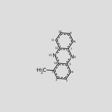 [CH2]c1cccc2nc3ccccc3nc12